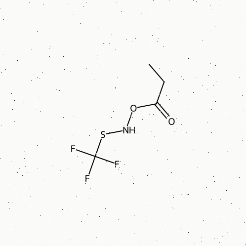 CCC(=O)ONSC(F)(F)F